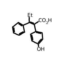 CCC(=C(C(=O)O)c1ccc(O)cc1)c1ccccc1